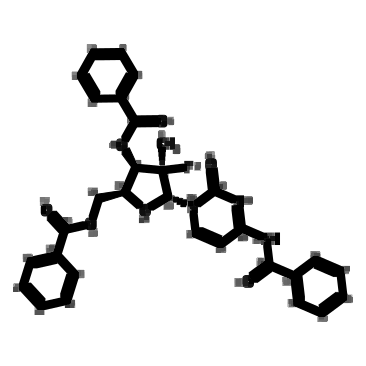 C[C@@]1(F)[C@H](OC(=O)c2ccccc2)[C@H](COC(=O)c2ccccc2)O[C@H]1n1ccc(NC(=O)c2ccccc2)nc1=O